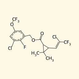 CC1(C)C(C=C(Cl)C(F)(F)F)C1C(=O)OCc1cc(OC(F)(F)F)cc(Cl)c1F